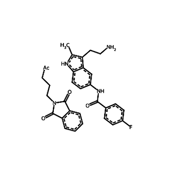 CC(=O)CCCN1C(=O)c2ccccc2C1=O.Cc1[nH]c2ccc(NC(=O)c3ccc(F)cc3)cc2c1CCN